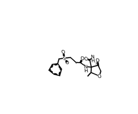 CC1OCC(=O)C1(NC(=O)[CH]CS(=O)(=O)Cc1ccccc1)C(N)=O